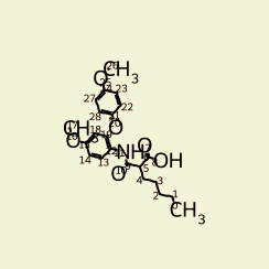 CCCCCC(C(=O)O)C(=O)Nc1ccc(OC)cc1Oc1ccc(OC)cc1